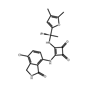 Cc1cc([C@](C)(Nc2c(Nc3ccc(Cl)c4c3C(=O)NC4)c(=O)c2=O)C(C)C)oc1C